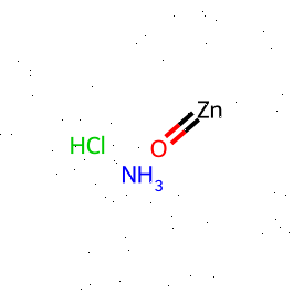 Cl.N.[O]=[Zn]